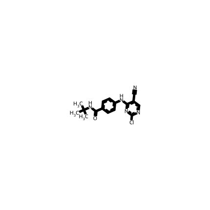 CC(C)(C)NC(=O)c1ccc(Nc2nc(Cl)ncc2C#N)cc1